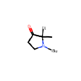 CCC1(C)C(=O)CCN1C(C)(C)C